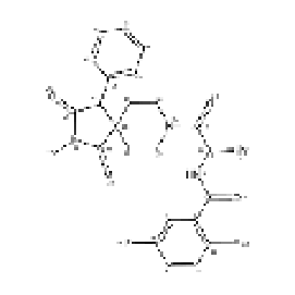 CC(C)[C@@H](NC(=O)c1cc(F)ccc1F)C(=O)N1CCC2(CC1)C(=O)N(C)C(=O)C2c1ccccc1